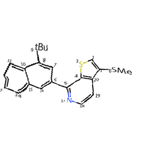 CSc1csc2c(-c3cc(C(C)(C)C)c4ccccc4c3)nccc12